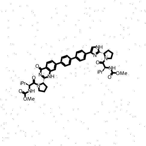 COC(=O)N[C@H](C(=O)N1CCC[C@H]1c1nc(-c2ccc(-c3ccc(-c4ccc5c(=O)nc([C@@H]6CCCN6C(=O)[C@@H](NC(=O)OC)C(C)C)[nH]c5c4)cc3)cc2)c[nH]1)C(C)C